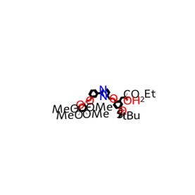 CCOC(=O)[C@H](O)Cc1cc(O[Si](C)(C)C(C)(C)C)ccc1OCc1ccnc(-c2cccc(OC[C@H]3O[C@H](OC)[C@@H](OC)[C@@H](OC)[C@@H]3OC)c2)n1